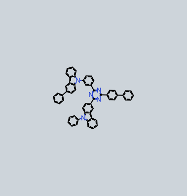 c1ccc(-c2ccc(-c3nc(-c4cccc(-n5c6ccccc6c6cc(-c7ccccc7)ccc65)c4)nc(-c4ccc5c(c4)c4ccccc4n5-c4ccccc4)n3)cc2)cc1